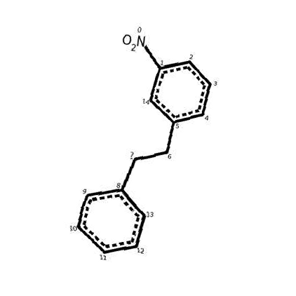 O=[N+]([O-])c1cccc(C[CH]c2ccccc2)c1